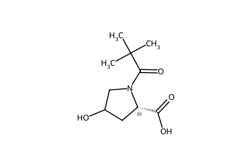 CC(C)(C)C(=O)N1CC(O)C[C@H]1C(=O)O